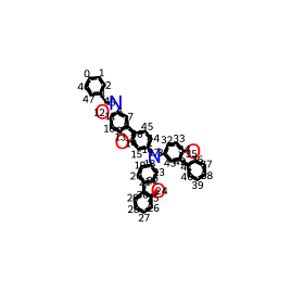 c1ccc(-c2nc3cc4c(cc3o2)oc2cc(N(c3ccc5c(c3)oc3ccccc35)c3ccc5oc6ccccc6c5c3)ccc24)cc1